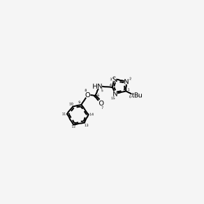 CC(C)(C)c1nsc(NC(=O)Oc2ccccc2)n1